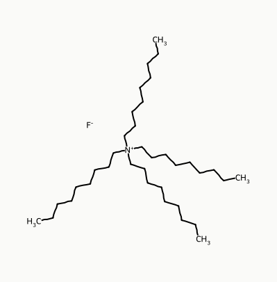 CCCCCCCCC[N+](CCCCCCCCC)(CCCCCCCCC)CCCCCCCCC.[F-]